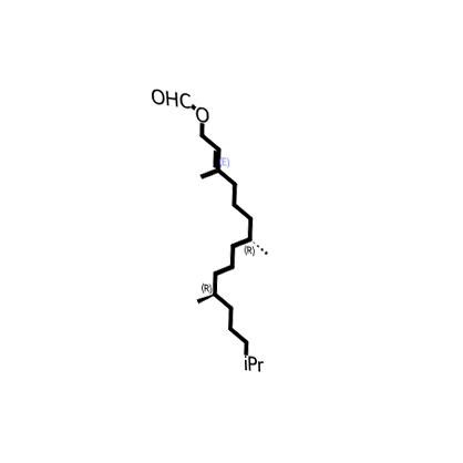 C/C(=C\COC=O)CCC[C@H](C)CCC[C@H](C)CCCC(C)C